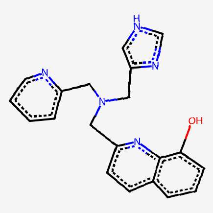 Oc1cccc2ccc(CN(Cc3ccccn3)Cc3c[nH]cn3)nc12